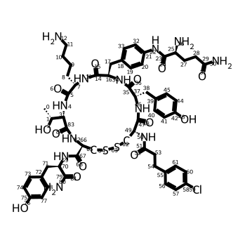 C[C@@H](O)[C@@H]1NC(=O)[C@H](CCCCN)NC(=O)[C@@H](Cc2ccc(NC(=O)[C@@H](N)CCC(N)=O)cc2)NC(=O)[C@H](Cc2ccc(O)cc2)NC(=O)[C@H](NC(=O)CCc2ccc(Cl)cc2)CSSC[C@@H](C(=O)N[C@H](Cc2ccc(O)cc2)C(N)=O)NC1=O